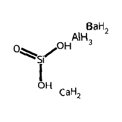 O=[Si](O)O.[AlH3].[BaH2].[CaH2]